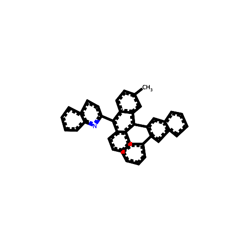 Cc1ccc2c(-c3ccc4ccccc4n3)c3ccccc3c(-c3cc4ccccc4cc3-c3ccccc3)c2c1